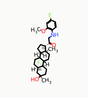 COc1cc(F)ccc1NCC(=O)[C@H]1CC[C@H]2[C@@H]3CC[C@@H]4C[C@](C)(O)CC[C@]4(F)[C@H]3CC[C@]12C